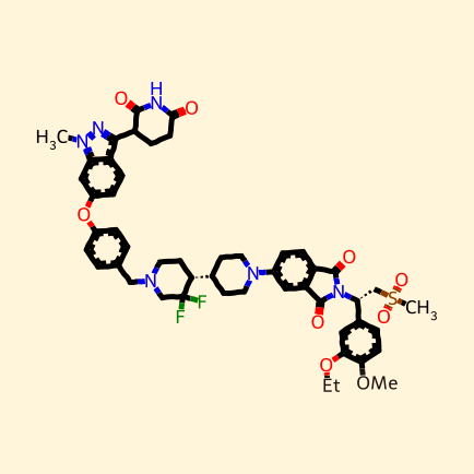 CCOc1cc([C@@H](CS(C)(=O)=O)N2C(=O)c3ccc(N4CCC([C@H]5CCN(Cc6ccc(Oc7ccc8c(C9CCC(=O)NC9=O)nn(C)c8c7)cc6)CC5(F)F)CC4)cc3C2=O)ccc1OC